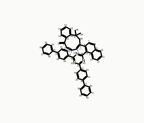 C=C1/C=C\C=C(\c2ccc3ccccc3c2-c2nc(-c3ccc(-c4ccccc4)cc3)nc(-c3ccc(-c4ccccc4)cc3)n2)CC(C)(C)c2ccccc21